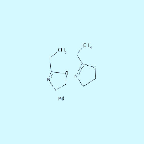 CCC1=NCCO1.CCC1=NCCO1.[Pd]